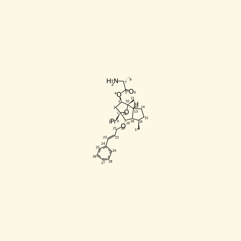 CC(C)[C@@]12C[C@@H](OC(=O)[C@@H](C)N)[C@@](C)(O1)[C@@H]1CC[C@@H](C)C1[C@@H]2OC/C=C/c1ccccc1